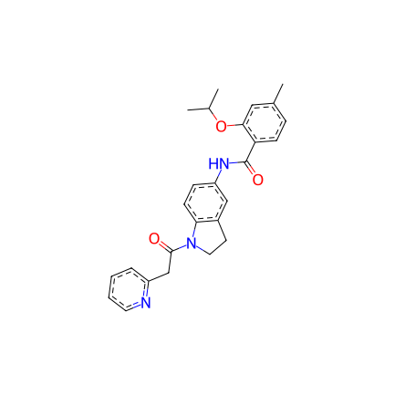 Cc1ccc(C(=O)Nc2ccc3c(c2)CCN3C(=O)Cc2ccccn2)c(OC(C)C)c1